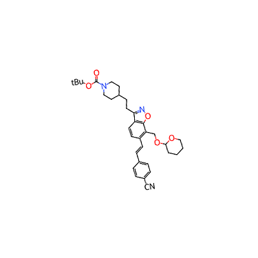 CC(C)(C)OC(=O)N1CCC(CCc2noc3c(COC4CCCCO4)c(C=Cc4ccc(C#N)cc4)ccc23)CC1